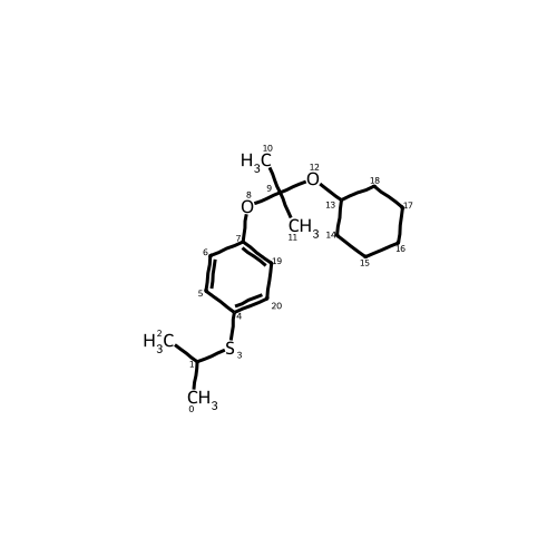 CC(C)Sc1ccc(OC(C)(C)OC2CCCCC2)cc1